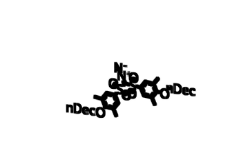 CCCCCCCCCCOc1c(C)cc(S(=O)(=O)C(=[N+]=[N-])S(=O)(=O)c2cc(C)c(OCCCCCCCCCC)c(C)c2)cc1C